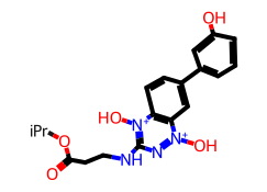 CC(C)OC(=O)CCNc1n[n+](O)c2cc(-c3cccc(O)c3)ccc2[n+]1O